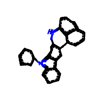 c1ccc(-n2c3ccccc3c3cc4c(cc32)Nc2cccc3cccc-4c23)cc1